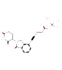 CC(C)(C)OC(=O)CCC#Cc1cccc2c1CN(C1CCC(=O)NC1=O)C2=O